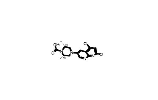 C[C@@H]1CN(c2cnc3nc(Cl)cc(Cl)c3c2)C[C@H](C)N1C(=O)O